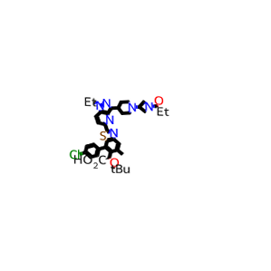 CCC(=O)N1CC(N2CCC(c3nn(CC)c4ccc(-c5nc6cc(C)c([C@H](OC(C)(C)C)C(=O)O)c(-c7ccc(Cl)cc7)c6s5)nc34)CC2)C1